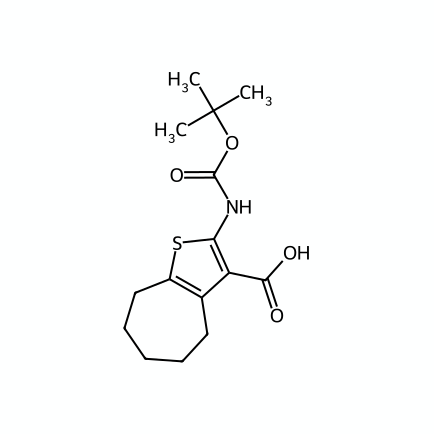 CC(C)(C)OC(=O)Nc1sc2c(c1C(=O)O)CCCCC2